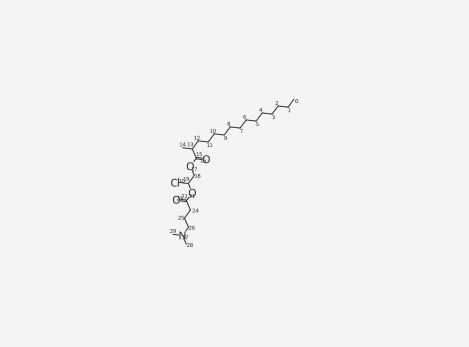 CCCCCCCCCCCCCC(C)C(=O)OCC(Cl)OC(=O)CCCN(C)C